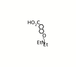 CCN(CC)CCOc1ccc2cc(C(=O)O)ccc2c1